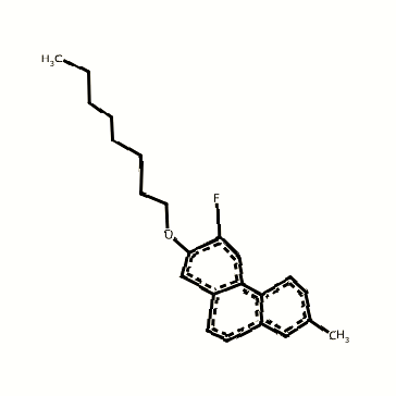 CCCCCCCCOc1cc2ccc3cc(C)ccc3c2cc1F